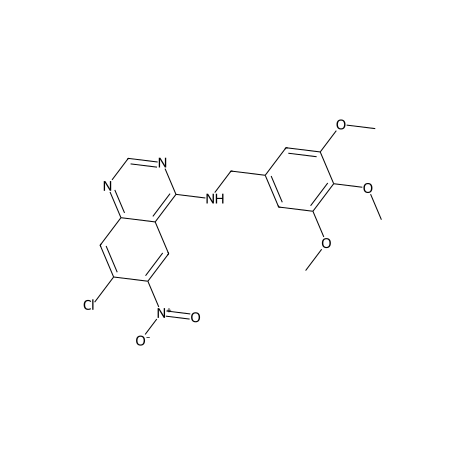 COc1cc(CNc2ncnc3cc(Cl)c([N+](=O)[O-])cc23)cc(OC)c1OC